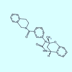 C[C@@]12C[C@@H](NC(=O)N1c1cccc(C(=O)N3CCc4ccccc4C3)c1)c1ccccc1O2